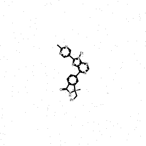 CCn1c(-c2cnc(C)nc2)nc2c(-c3ccc4c(c3)[C@](C)(CC(C)C)NC4=O)ncnc21